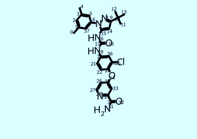 Cc1cc(C)cc(-n2nc(C(C)(C)C)cc2NC(=O)Nc2ccc(Oc3ccnc(C(N)=O)c3)c(Cl)c2)c1